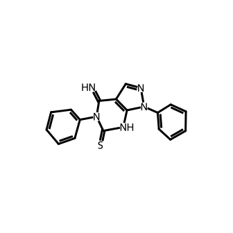 N=c1c2cnn(-c3ccccc3)c2[nH]c(=S)n1-c1ccccc1